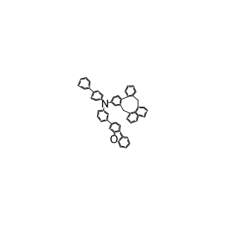 c1ccc(-c2ccc(N(c3cccc(-c4ccc5c(c4)oc4ccccc45)c3)c3ccc4c(c3)Cc3cccc5cccc(c35)Cc3ccccc3-4)cc2)cc1